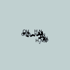 CCn1c(-c2nonc2N)nc2cncc(CNCCCN3CCN(C(=O)O)CC3)c21